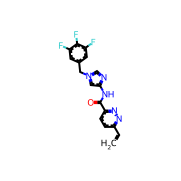 C=Cc1ccc(C(=O)Nc2cn(Cc3cc(F)c(F)c(F)c3)cn2)nn1